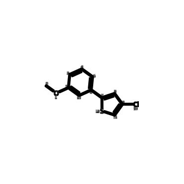 COc1cccc(-c2cc(Cl)cs2)c1